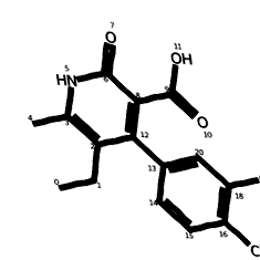 CCc1c(C)[nH]c(=O)c(C(=O)O)c1-c1ccc(Cl)c(Cl)c1